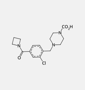 O=C(O)N1CCN(Cc2ccc(C(=O)N3CCC3)cc2Cl)CC1